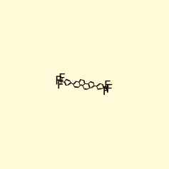 FC(F)(F)c1ccc(-c2ccc3c(ccc4c5ccc(-c6ccc(C(F)(F)F)cc6)cc5ccc34)c2)cc1